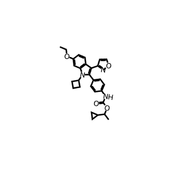 CCOc1ccc2c(-c3ccon3)c(-c3ccc(NC(=O)OC(C)C4CC4)cc3)n(C3CCC3)c2c1